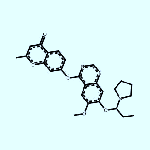 CCC(Oc1cc2ncnc(Oc3ccc4c(=O)cc(C)oc4c3)c2cc1OC)N1CCCC1